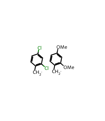 [CH2]c1ccc(Cl)cc1Cl.[CH2]c1ccc(OC)cc1OC